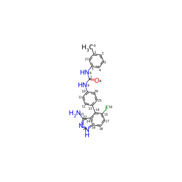 Cc1cccc(NC(=O)Nc2ccc(-c3c(F)ccc4[nH]nc(N)c34)cc2)c1